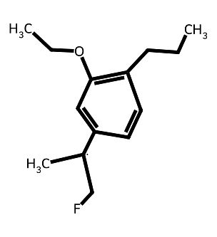 CCCc1ccc([C](C)CF)cc1OCC